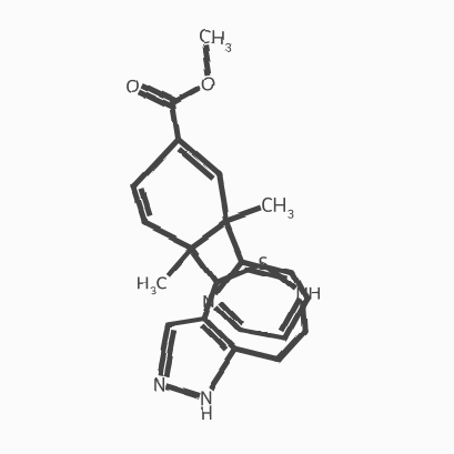 COC(=O)C1=CC(C)(c2ccccn2)C(C)(C2SNCCc3[nH]ncc32)C=C1